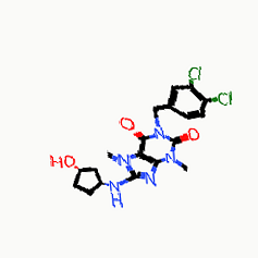 Cn1c(N[C@H]2CC[C@H](O)C2)nc2c1c(=O)n(Cc1ccc(Cl)c(Cl)c1)c(=O)n2C